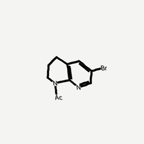 CC(=O)N1CCCc2cc(Br)cnc21